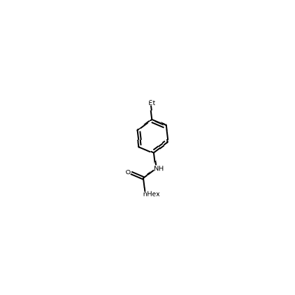 CCCCCCC(=O)Nc1ccc(CC)cc1